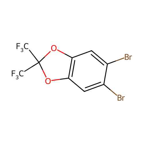 FC(F)(F)C1(C(F)(F)F)Oc2cc(Br)c(Br)cc2O1